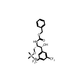 CC(C)(C)[Si](C)(C)OC[C@H](NC(=O)OCc1ccccc1)[C@H](O)c1cc(C(F)(F)F)cc(C(F)(F)F)c1